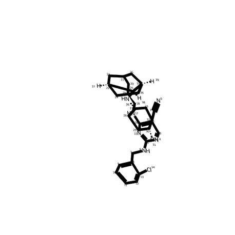 N#Cc1cnc(NCc2ccccc2Cl)nc1NC[C@]12CC3C[C@H](C1)[C@@H](N[C@H]1CC[C@@H](O)CC1)[C@@H](C3)C2